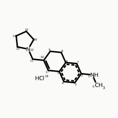 CNc1ccc2c(c1)CCC(CN1CCCC1)=C2.Cl